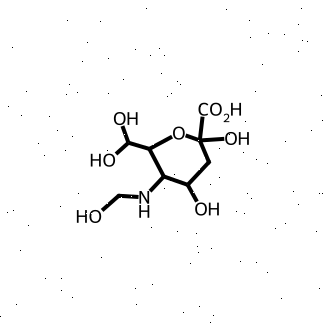 O=C(O)C1(O)CC(O)C(NCO)C(C(O)O)O1